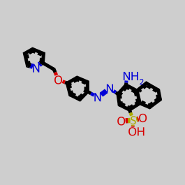 Nc1c(N=Nc2ccc(OCc3ccccn3)cc2)cc(S(=O)(=O)O)c2ccccc12